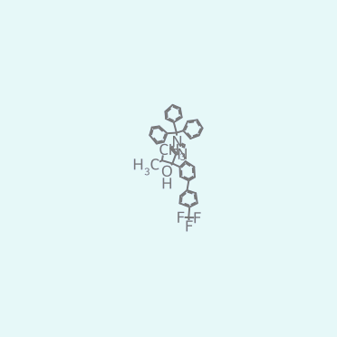 CC(C)C(O)(c1cccc(-c2ccc(C(F)(F)F)cc2)c1)c1cn(C(c2ccccc2)(c2ccccc2)c2ccccc2)cn1